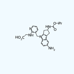 CC(C)OC(=O)N[C@H]1Cc2c(n(Cc3cccnc3NCC(=O)O)c3ccc(N)cc23)C1